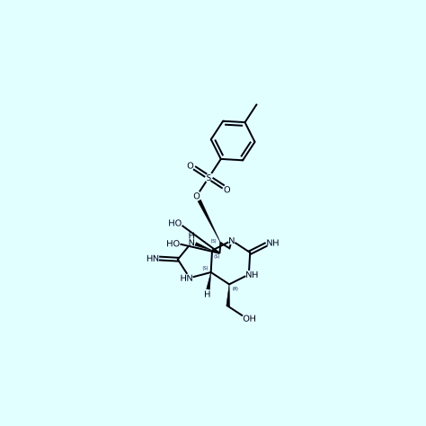 Cc1ccc(S(=O)(=O)O[C@H]2CN3C(=N)N[C@@H](CO)[C@@H]4NC(=N)N[C@@]43C2(O)O)cc1